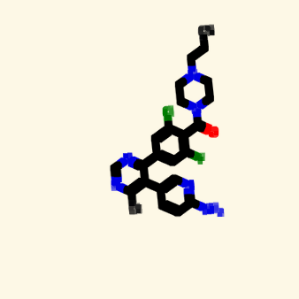 CCc1ncnc(-c2cc(F)c(C(=O)N3CCN(CCC#N)CC3)c(Cl)c2)c1-c1ccc(N)nc1